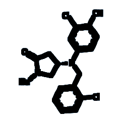 CCC(C)N1C[C@@H](N(Cc2ccccc2Cl)c2ccc(C#N)c(Cl)c2)CC1=O